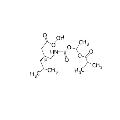 CC(C)C[C@H](CNC(=O)OC(C)OC(=O)C(C)C)CC(=O)OO